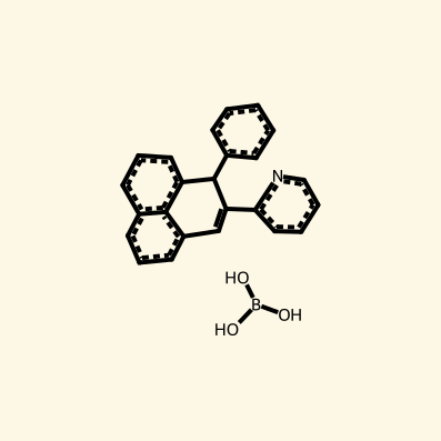 C1=C(c2ccccn2)C(c2ccccc2)c2cccc3cccc1c23.OB(O)O